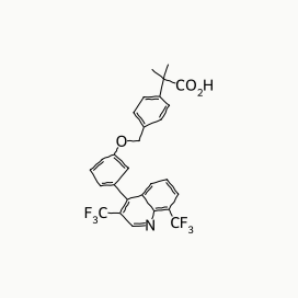 CC(C)(C(=O)O)c1ccc(COc2cccc(-c3c(C(F)(F)F)cnc4c(C(F)(F)F)cccc34)c2)cc1